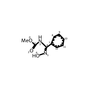 COC(=O)NC(=NO)c1ccccc1